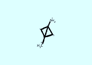 CC12CC1(N)C2